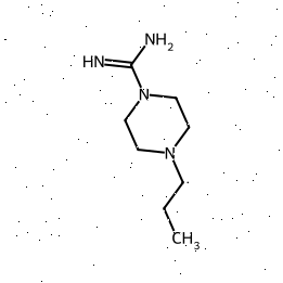 CC[CH]N1CCN(C(=N)N)CC1